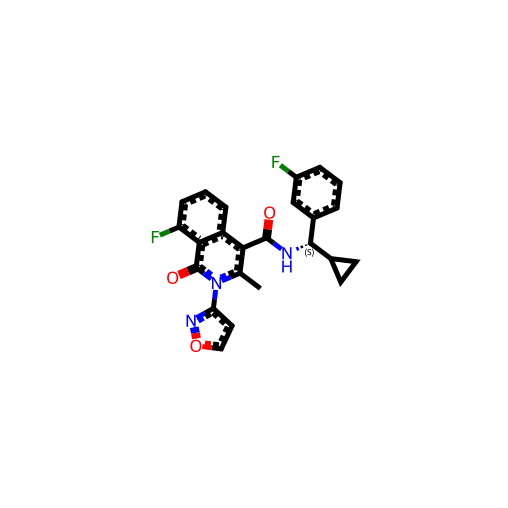 Cc1c(C(=O)N[C@H](c2cccc(F)c2)C2CC2)c2cccc(F)c2c(=O)n1-c1ccon1